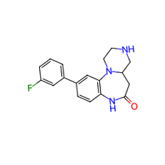 O=C1CC2CNCCN2c2cc(-c3cccc(F)c3)ccc2N1